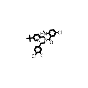 CNc1ccc(Cl)cc1C(=O)N(CCc1ccc(Cl)c(Cl)c1)Cc1ccc(C(C)(C)C)cn1